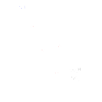 NCCOc1cccc(S(=O)(=O)C=CC(Oc2ccccc2[N+](=O)[O-])C(=O)O)c1